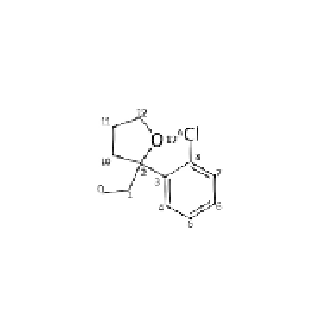 CCC1(c2ccccc2Cl)CCCO1